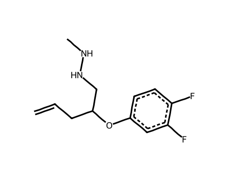 C=CCC(CNNC)Oc1ccc(F)c(F)c1